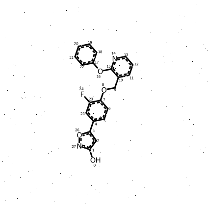 Oc1cc(-c2ccc(OCc3cccnc3Oc3ccccc3)c(F)c2)on1